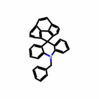 c1ccc(CN2c3ccccc3C3(c4ccccc42)c2cccc4ccc5cccc3c5c24)cc1